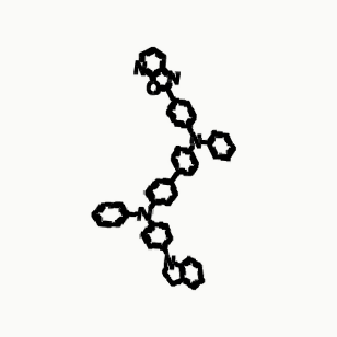 c1ccc(N(c2ccc(-c3ccc(N(c4ccccc4)c4ccc(N5CCc6ccccc65)cc4)cc3)cc2)c2ccc(-c3nc4cccnc4o3)cc2)cc1